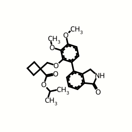 COc1ccc(-c2cccc3c2CNC3=O)c(OCC2(C(=O)OC(C)C)CCC2)c1OC